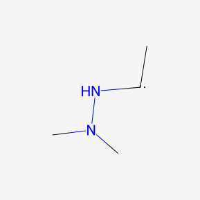 C[CH]NN(C)C